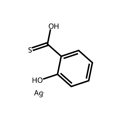 OC(=S)c1ccccc1O.[Ag]